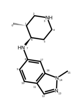 C[C@@H]1CNCC[C@H]1Nc1ccc2cnn(C)c2c1